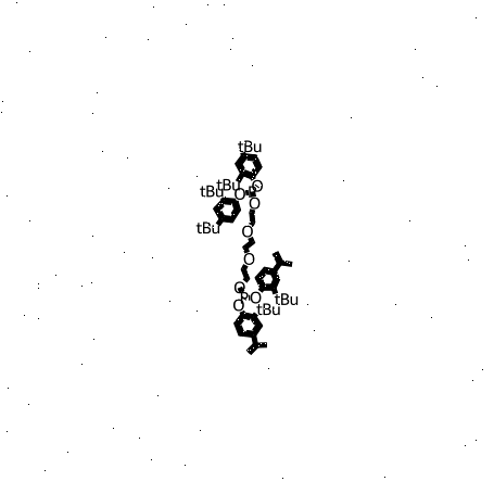 C=C(C)c1ccc(OP(OCCOCCOCCOP(Oc2ccc(C(C)(C)C)cc2C(C)(C)C)Oc2ccc(C(C)(C)C)cc2C(C)(C)C)Oc2ccc(C(=C)C)cc2C(C)(C)C)c(C(C)(C)C)c1